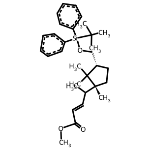 COC(=O)C=CC(C)[C@@]1(C)CC[C@@H](CO[Si](c2ccccc2)(c2ccccc2)C(C)(C)C)C1(C)C